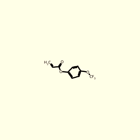 C=CC(=O)Oc1ccc(OC(F)(F)F)cc1